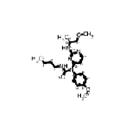 CCCCNC(=O)N(c1ccc(OC)cc1)c1ccnc(N[C@@H](C)COC)n1